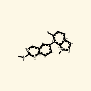 CNc1ncc2cc(-c3c(C)ccc4cnn(C)c34)ccc2n1